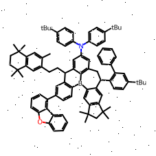 Cc1cc2c(cc1CCC1c3cc(-c4cccc5oc6ccccc6c45)ccc3B3c4cc5c(cc4C(c4ccc(C(C)(C)C)cc4-c4ccccc4)Cc4cc(N(c6ccc(C(C)(C)C)cc6)c6ccc(C(C)(C)C)cc6)cc1c43)C(C)(C)CC5(C)C)C(C)(C)CCC2(C)C